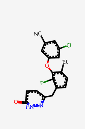 CCc1ccc(Cc2ccc(=O)[nH]n2)c(F)c1Oc1cc(Cl)cc(C#N)c1